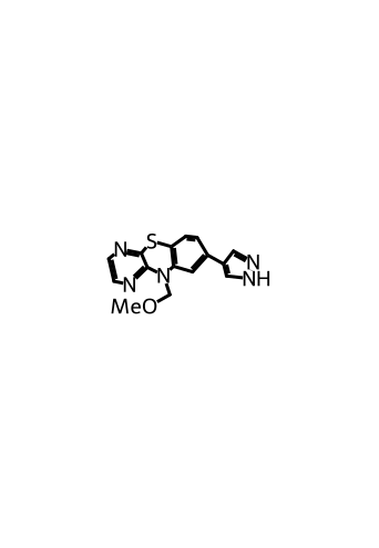 COCN1c2cc(-c3cn[nH]c3)ccc2Sc2nccnc21